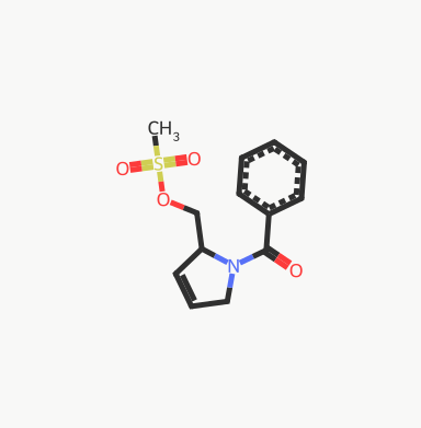 CS(=O)(=O)OCC1C=CCN1C(=O)c1ccccc1